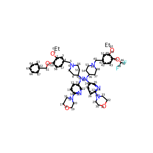 CCOc1cc(CN2CCC(N(c3ccc(N4CCOCC4)nc3)N(c3ccc(N4CCOCC4)nc3)C3CCN(Cc4ccc(OC(F)F)c(OCC)c4)CC3)CC2)ccc1OCc1ccccc1